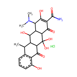 CC1c2cccc(O)c2C(=O)C2C1C(O)C1C(N(C)C)C(O)=C(C(N)=O)C(=O)C1C2(O)O.Cl